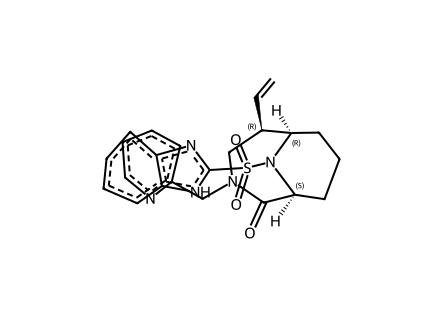 C=C[C@@H]1CN(Cc2ccccn2)C(=O)[C@@H]2CCC[C@H]1N2S(=O)(=O)c1nc2ccccc2[nH]1